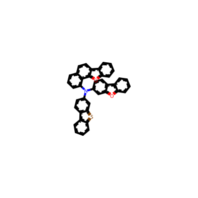 c1cc(N(c2ccc3c(c2)oc2ccccc23)c2ccc3c(c2)sc2ccccc23)c2c(c1)ccc1c3ccccc3oc12